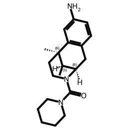 C[C@@H]1[C@H]2Cc3ccc(N)cc3[C@]1(C)CCN2C(=O)N1CCCCC1